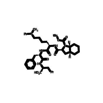 CC(C)C[C@H](NC(=O)[C@H](Cc1ccccc1)NC(=O)[C@H](CCCCN(C)C(C)C)NC(=O)[C@@H]1C[C@@H]2CCCC[C@@H]2N1C(=O)OC(C)(C)C)C(=O)O